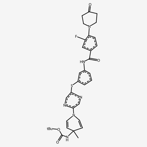 CC1(NC(=O)OC(C)(C)C)C=CN(c2cnc(Sc3cccc(NC(=O)c4ccc(N5CCC(=O)CC5)c(F)c4)c3)cn2)C=C1